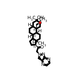 COC[C@]12CC[C@@](C)(O)C[C@H]1CC[C@H]1[C@@H]3CC[C@H](C(=O)Cn4cc5nccnc5n4)[C@@]3(C)CC[C@@H]12